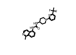 Cc1nccc2c(NC(=O)NC3CCN(c4cccc(C(C)(F)F)n4)CC3)cccc12